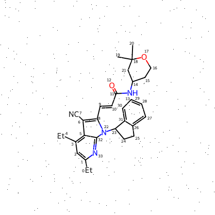 CCc1cc(CC)c2c(C#N)c(C=CC(=O)NC3CCOC(C)(C)C3)n(C3CCc4ccccc43)c2n1